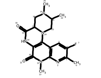 Cc1nc2c(cc1F)c1c(c(=O)n2C)NC(=O)C2CN(C)C(C)CN12